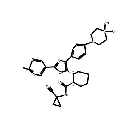 Cc1ncc(-c2nc(-c3ccc(N4CCS(O)(O)CC4)cc3)c([C@@H]3CCCC[C@H]3C(=O)NC3(C#N)CC3)o2)cn1